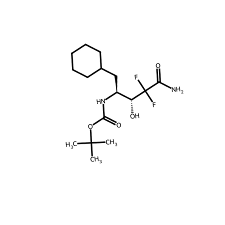 CC(C)(C)OC(=O)N[C@@H](CC1CCCCC1)[C@@H](O)C(F)(F)C(N)=O